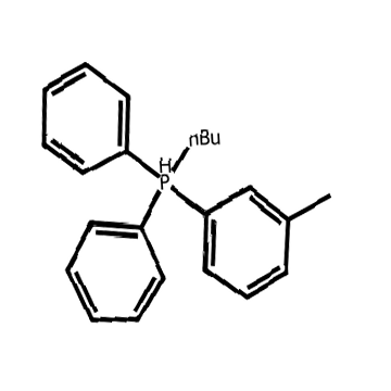 CCCC[PH](c1ccccc1)(c1ccccc1)c1cccc(C)c1